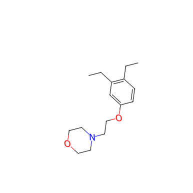 CCc1ccc(OCCN2CCOCC2)cc1CC